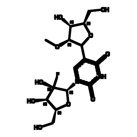 CO[C@@H]1C(c2cn([C@@H]3O[C@H](CO)[C@@H](O)[C@]3(O)F)c(=O)[nH]c2=O)O[C@H](CO)[C@H]1O